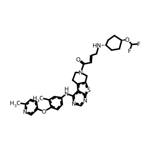 Cc1ccc(Oc2ccc(Nc3ncnc4sc5c(c34)CCN(C(=O)/C=C/CN[C@H]3CC[C@H](OC(F)F)CC3)C5)cc2C)cn1